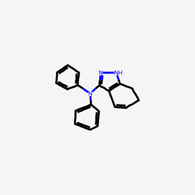 C1=Cc2c(N(c3ccccc3)c3ccccc3)n[nH]c2CC1